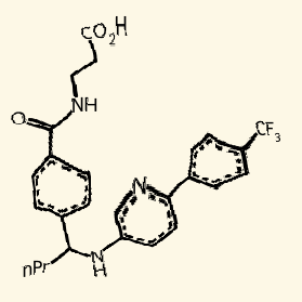 CCCC(Nc1ccc(-c2ccc(C(F)(F)F)cc2)nc1)c1ccc(C(=O)NCCC(=O)O)cc1